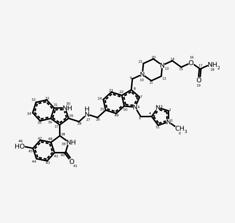 Cn1cnc(Cn2cc(CN3CCN(CCOC(N)=O)CC3)c3ccc(CNCc4[nH]c5ccccc5c4C4NC(=O)c5ccc(O)cc54)cc32)c1